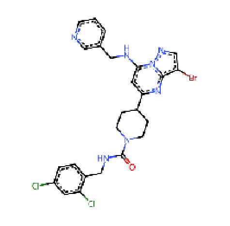 O=C(NCc1ccc(Cl)cc1Cl)N1CCC(c2cc(NCc3cccnc3)n3ncc(Br)c3n2)CC1